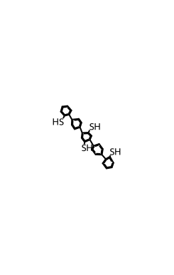 Sc1ccccc1-c1ccc(-c2cc(S)c(-c3ccc(-c4ccccc4S)cc3)cc2S)cc1